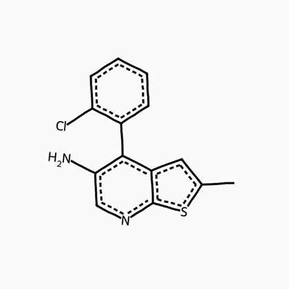 Cc1cc2c(-c3ccccc3Cl)c(N)cnc2s1